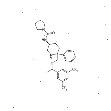 CC(OCC1(c2ccccc2)CC[C@H](NC(=O)N2CCCC2)CN1)c1cc(C(F)(F)F)cc(C(F)(F)F)c1